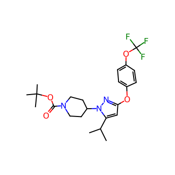 CC(C)c1cc(Oc2ccc(OC(F)(F)F)cc2)nn1C1CCN(C(=O)OC(C)(C)C)CC1